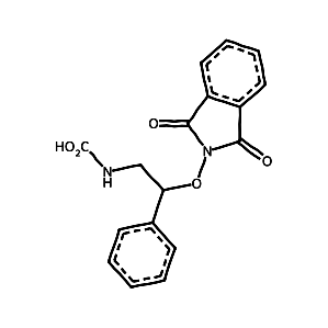 O=C(O)NCC(ON1C(=O)c2ccccc2C1=O)c1ccccc1